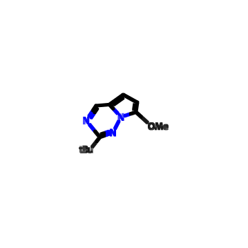 COc1ccc2cnc(C(C)(C)C)nn12